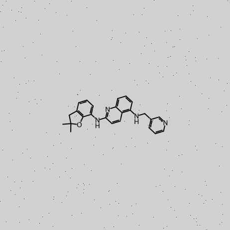 CC1(C)Cc2cccc(Nc3ccc4c(NCc5cccnc5)cccc4n3)c2O1